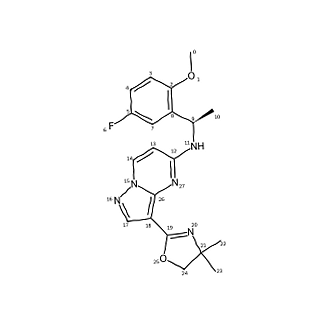 COc1ccc(F)cc1[C@@H](C)Nc1ccn2ncc(C3=NC(C)(C)CO3)c2n1